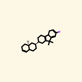 CC1(C)C2=CC(I)=CCC2C2=C1CC([C@H]1CCC3C=CCC[C@H]3C1)CC2